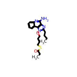 CCCCc1nc2c(N)nc3ccccc3c2n1OCCCCSC(=O)CC